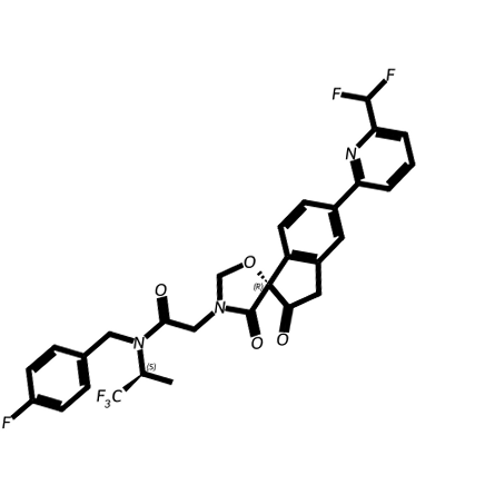 C[C@H](N(Cc1ccc(F)cc1)C(=O)CN1CO[C@]2(C(=O)Cc3cc(-c4cccc(C(F)F)n4)ccc32)C1=O)C(F)(F)F